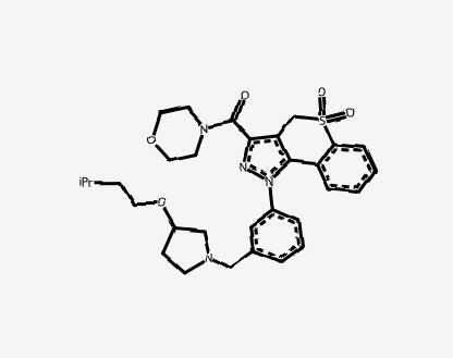 CC(C)CCOC1CCN(Cc2cccc(-n3nc(C(=O)N4CCOCC4)c4c3-c3ccccc3S(=O)(=O)C4)c2)C1